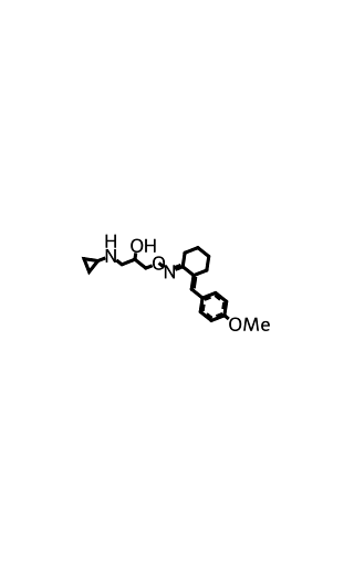 COc1ccc(/C=C2\CCCC\C2=N/OCC(O)CNC2CC2)cc1